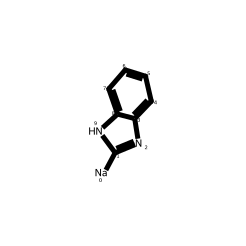 [Na][c]1nc2ccccc2[nH]1